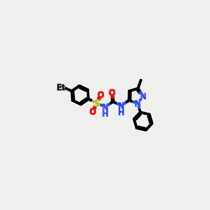 CCc1ccc(S(=O)(=O)NC(=O)Nc2cc(C)nn2-c2ccccc2)cc1